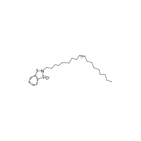 CCCCCCCC/C=C\CCCCCCCCN1Sc2ccccc2[S+]1[O-]